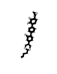 C=CCCC1OCC(c2ccc(-c3ccc(-c4ccc(C5CO5)c(F)c4F)cc3)c(F)c2)CO1